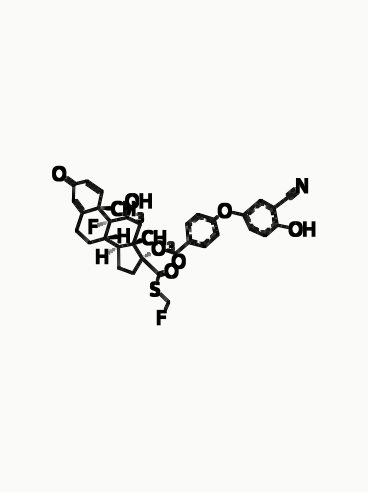 C[C@]12C=CC(=O)C=C1CC[C@H]1[C@@H]3CC[C@](OC(=O)c4ccc(Oc5ccc(O)c(C#N)c5)cc4)(C(=O)SCF)[C@@]3(C)C[C@H](O)[C@@]12F